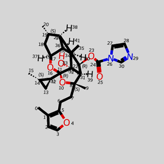 Cc1ccoc1CC[C@]1(C)O[C@@]2([C@H]3C[C@@H]3C)O[C@H]3C[C@H](C)[C@H]4[C@@H](OC(=O)n5ccnc5)[C@@H]1[C@]2(O)[C@H](C)[C@H]43